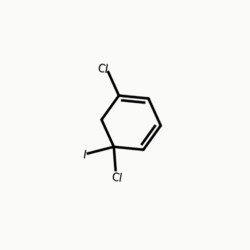 ClC1=CC=CC(Cl)(I)C1